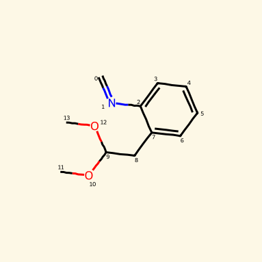 C=Nc1ccccc1CC(OC)OC